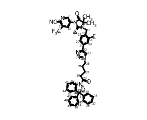 CC1(C)C(=O)N(c2cnc(C#N)c(C(F)(F)F)c2)C(=S)N1Cc1ccc(-c2cn(CCCCC(=O)NOC(c3ccccc3)(c3ccccc3)c3ccccc3)nn2)cc1F